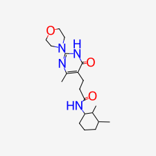 Cc1nc(N2CCOCC2)[nH]c(=O)c1CCC(=O)NC1CCCC(C)C1C